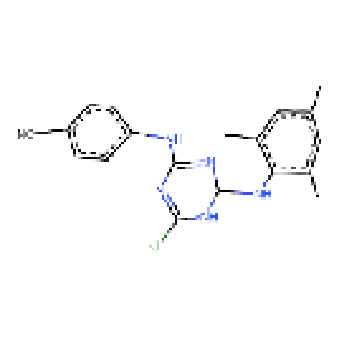 Cc1cc(C)c(NC2N=C(Nc3ccc(C#N)cc3)N=C(Cl)N2)c(C)c1